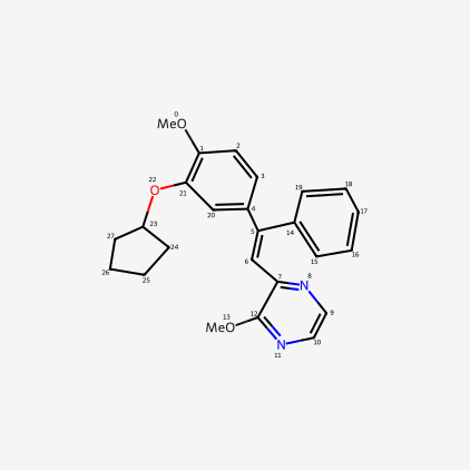 COc1ccc(C(=Cc2nccnc2OC)c2ccccc2)cc1OC1CCCC1